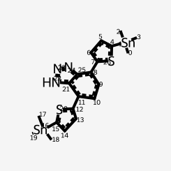 [CH3][Sn]([CH3])([CH3])[c]1ccc(-c2ccc(-c3cc[c]([Sn]([CH3])([CH3])[CH3])s3)c3[nH]nnc23)s1